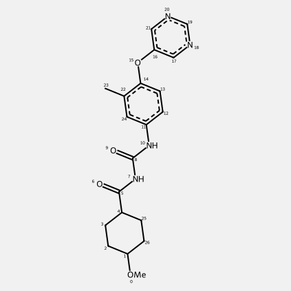 COC1CCC(C(=O)NC(=O)Nc2ccc(Oc3cncnc3)c(C)c2)CC1